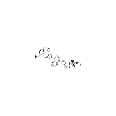 Cc1sc(C(=O)c2cncnc2N[C@@H]2C[C@H](COS(N)(=O)=O)[C@@H](O)C2)cc1[C@H]1OCCc2ccc(CN(C)C)cc21